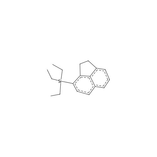 CC[Si](CC)(CC)c1ccc2cccc3c2c1CC3